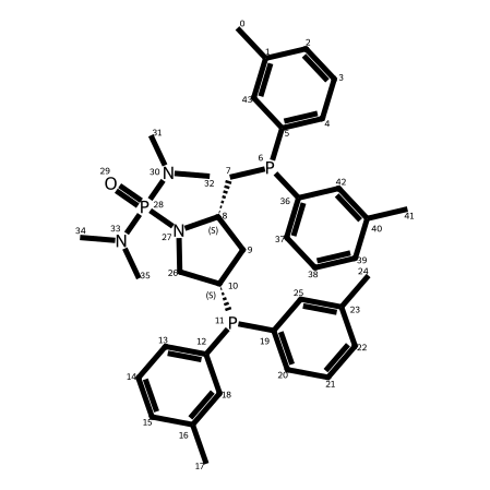 Cc1cccc(P(C[C@@H]2C[C@H](P(c3cccc(C)c3)c3cccc(C)c3)CN2P(=O)(N(C)C)N(C)C)c2cccc(C)c2)c1